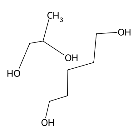 CC(O)CO.OCCCCCO